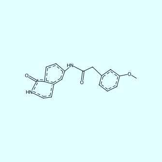 COc1cccc(CC(=O)Nc2ccc3c(=O)[nH]ccc3c2)c1